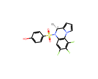 CC[C@@H]1c2cccn2-c2c(cc(F)c(F)c2F)N1S(=O)(=O)c1ccc(O)cc1